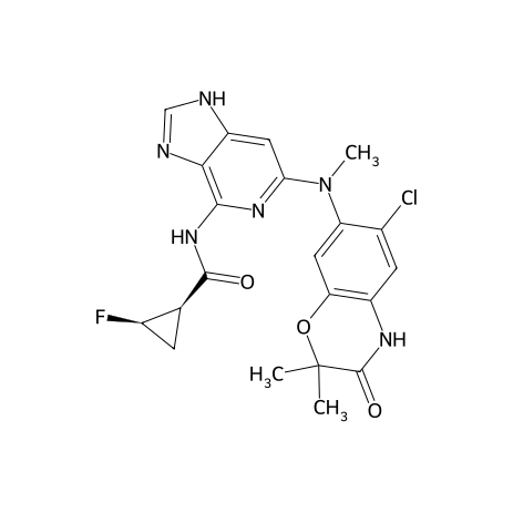 CN(c1cc2[nH]cnc2c(NC(=O)[C@H]2C[C@H]2F)n1)c1cc2c(cc1Cl)NC(=O)C(C)(C)O2